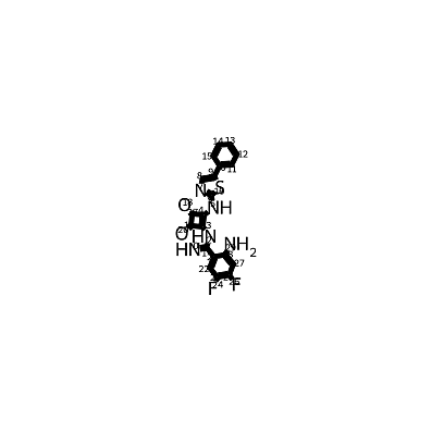 N=C(Nc1c(Nc2ncc(-c3ccccc3)s2)c(=O)c1=O)c1cc(F)c(F)cc1N